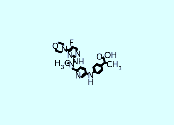 CC(C(=O)O)c1ccc(Nc2ccc(CN(C)Nc3ncc(F)c(N4CCOCC4)n3)nc2)cc1